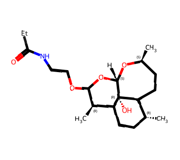 CCC(=O)NCCOC1O[C@@H]2O[C@@H](C)CCC3[C@H](C)CCC([C@H]1C)[C@]32O